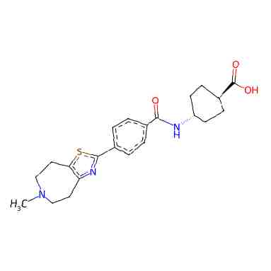 CN1CCc2nc(-c3ccc(C(=O)N[C@H]4CC[C@H](C(=O)O)CC4)cc3)sc2CC1